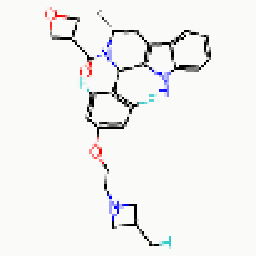 C[C@@H]1Cc2c([nH]c3ccccc23)[C@@H](c2c(F)cc(OCCN3CC(CF)C3)cc2F)N1C(=O)C1COC1